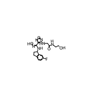 O=C(CNc1nonc1C(=NO)NC1CCc2ccc(F)cc21)NCCO